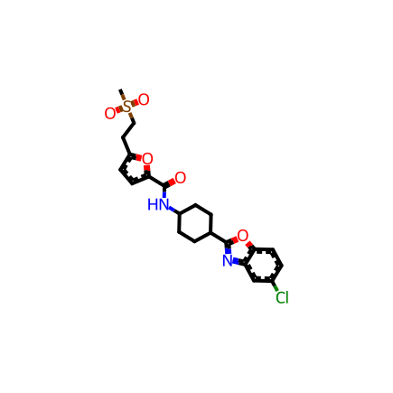 CS(=O)(=O)CCc1ccc(C(=O)NC2CCC(c3nc4cc(Cl)ccc4o3)CC2)o1